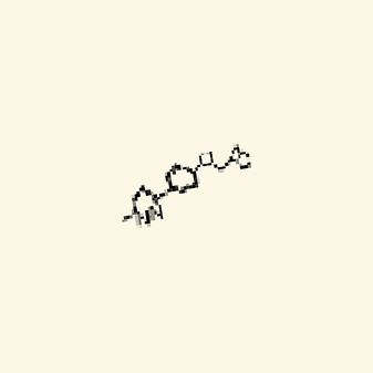 Cc1ccc(-c2ccc(OCC3CO3)cc2)nn1